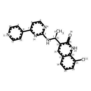 C[C@H](Nc1nccc(-c2ccncc2)n1)c1cc2cccc(Cl)c2[nH]c1=O